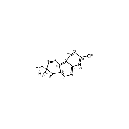 CC1(C)C=Cc2c(ccc3nc(Cl)ccc23)O1